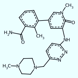 Cc1c(C(N)=O)cccc1-c1cc(Nc2ccc(CN3CCN(C)CC3)nn2)c(=O)n(C)c1